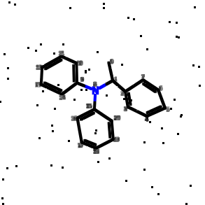 CC(c1ccccc1)N(c1ccccc1)c1ccccc1